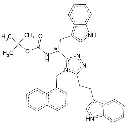 CC(C)(C)OC(=O)N[C@H](Cc1c[nH]c2ccccc12)c1nnc(CCc2c[nH]c3ccccc23)n1Cc1cccc2ccccc12